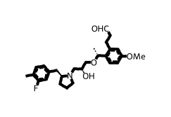 COc1ccc([C@@H](C)OC[C@H](O)CN2CCC[C@H]2Cc2ccc(C)c(F)c2)c(CCC=O)c1